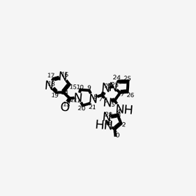 Cc1cc(Nc2nc(N3CCN(C(=O)c4cncnc4)CC3)nn3cccc23)n[nH]1